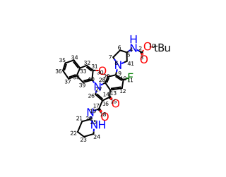 CC(C)(C)OC(=O)NC1CCN(c2c(F)cc3c(=O)c(C(=O)/N=C4/CCCCN4)cn4c3c2Oc2cc3ccccc3cc2-4)C1